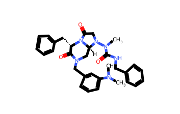 CN(C)c1cccc(CN2C[C@H]3N(C(=O)CN3N(C)C(=O)NCc3ccccc3)[C@@H](Cc3ccccc3)C2=O)c1